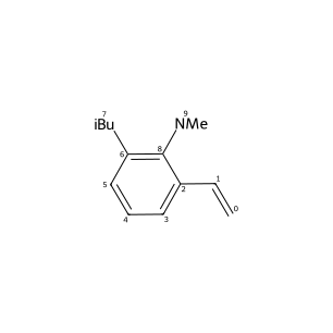 C=Cc1cccc(C(C)CC)c1NC